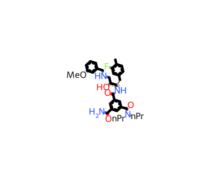 CCCN(CCC)C(=O)c1cc(C(N)=O)cc(C(=O)N[C@@H](Cc2ccc(C)c(F)c2)[C@H](O)CNCc2cccc(OC)c2)c1